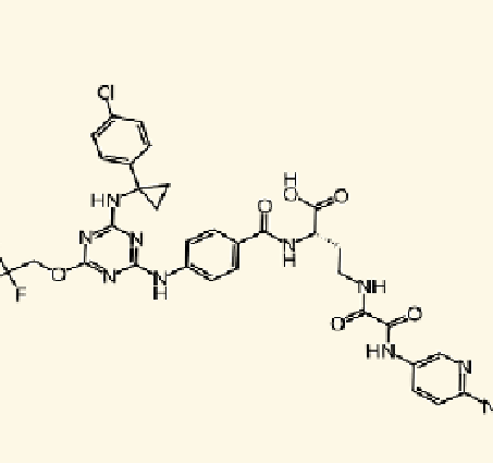 Nc1ccc(NC(=O)C(=O)NCC[C@H](NC(=O)c2ccc(Nc3nc(NC4(c5ccc(Cl)cc5)CC4)nc(OCC(F)(F)F)n3)cc2)C(=O)O)cn1